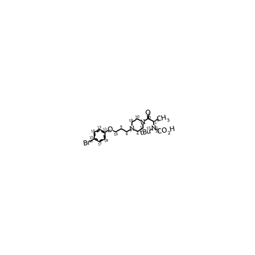 C[C@H](C(=O)N1CCN(CCCOc2ccc(Br)cc2)CC1)N(C(=O)O)C(C)(C)C